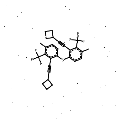 Cc1ccc(Sc2ccc(C)c(C(F)(F)F)c2C#CC2CCC2)c(C#CC2CCC2)c1C(F)(F)F